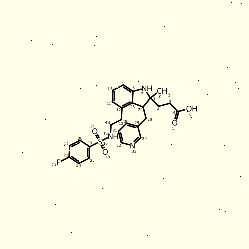 CC1(CCC(=O)O)Nc2cccc(CCNS(=O)(=O)c3ccc(F)cc3)c2C1Cc1cccnc1